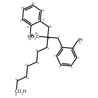 CC(C)c1ccccc1CC(CCCCCCC(=O)O)(Cc1ccccc1C(C)C)C(=O)O